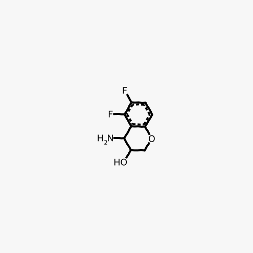 NC1c2c(ccc(F)c2F)OCC1O